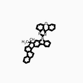 CC1(C)c2cc3c(cc2-c2c1ccc1c2ccc2ccccc21)c1ccccc1n3-c1nc2c3c(cccc3n1)Oc1ccccc1-2